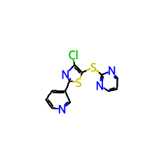 Clc1nc(-c2cccnc2)sc1Sc1ncccn1